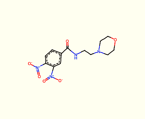 O=C(NCCN1CCOCC1)c1ccc([N+](=O)[O-])c([N+](=O)[O-])c1